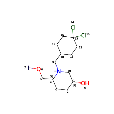 O[C@@H]1CC[C@H](COI)N(CC2CCC(Cl)(Cl)CC2)C1